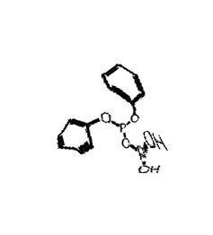 OP(O)OP(Oc1ccccc1)Oc1ccccc1